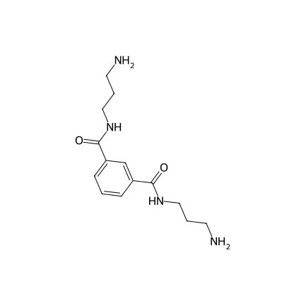 NCCCNC(=O)c1cccc(C(=O)NCCCN)c1